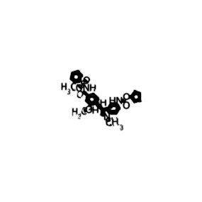 [2H]C([2H])(c1ccc(C(=O)NS(=O)(=O)c2ccccc2C)cc1OC)c1cn(C)c2ccc(NC(=O)OC3CCCC3)cc12